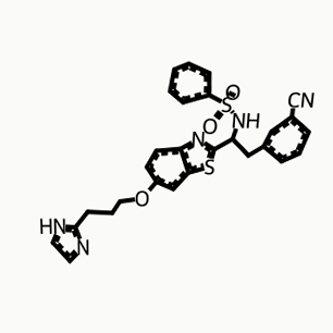 N#Cc1cccc(CC(NS(=O)(=O)c2ccccc2)c2nc3ccc(OCCCc4ncc[nH]4)cc3s2)c1